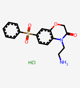 Cl.NCCN1C(=O)COc2cc(S(=O)(=O)c3ccccc3)ccc21